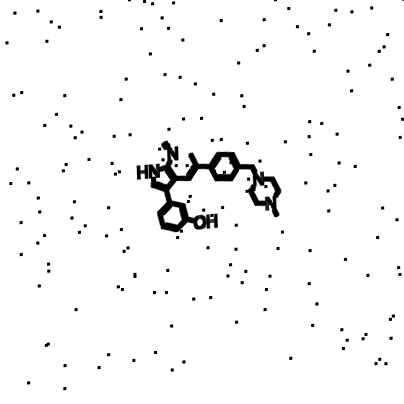 C=Nc1[nH]cc(-c2cccc(O)c2)c1/C=C(\C)c1ccc(CN2CCN(C)CC2)cc1